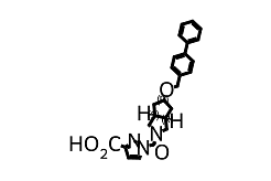 O=C(O)c1ccn(C(=O)N2C[C@H]3C[C@@H](OCc4ccc(-c5ccccc5)cc4)C[C@H]3C2)n1